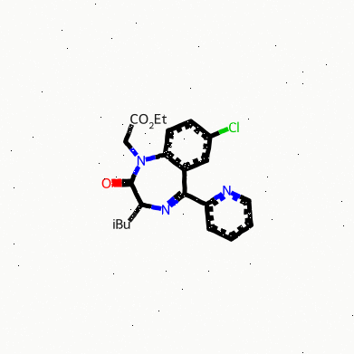 CCOC(=O)CN1C(=O)C(C(C)CC)N=C(c2ccccn2)c2cc(Cl)ccc21